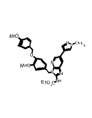 CCOC(=O)Nc1nc2cc(-c3cnn(C)c3)cnc2n1Cc1ccc(OCc2ccc(OC)cc2)c(OC)c1